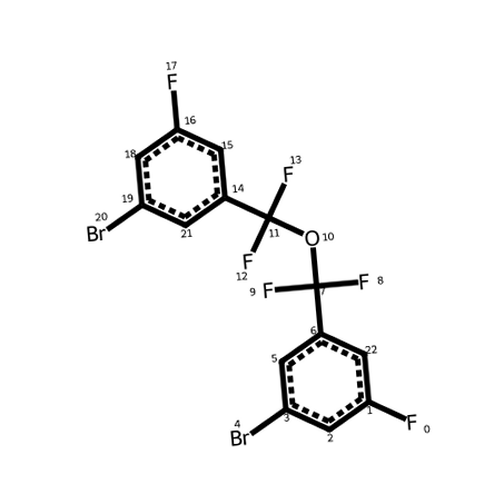 Fc1cc(Br)cc(C(F)(F)OC(F)(F)c2cc(F)cc(Br)c2)c1